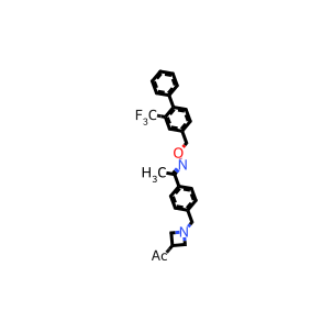 CC(=O)C1CN(Cc2ccc(/C(C)=N/OCc3ccc(-c4ccccc4)c(C(F)(F)F)c3)cc2)C1